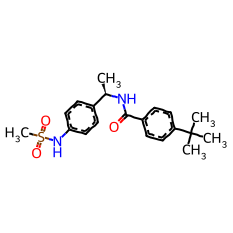 C[C@@H](NC(=O)c1ccc(C(C)(C)C)cc1)c1ccc(NS(C)(=O)=O)cc1